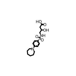 O=C(O)CC(O)CNS(=O)(=O)c1ccc(N2CCCCCC2)cc1